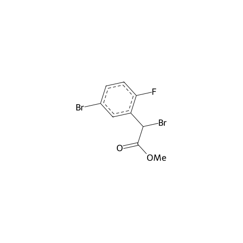 COC(=O)C(Br)c1cc(Br)ccc1F